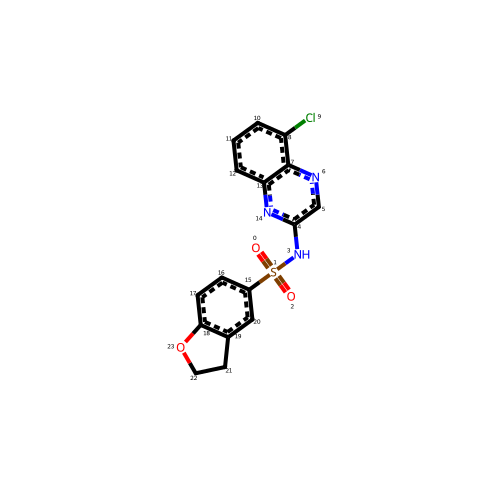 O=S(=O)(Nc1cnc2c(Cl)cccc2n1)c1ccc2c(c1)CCO2